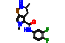 CC1Cc2c(cn(C)c2C(=O)Nc2ccc(F)c(F)c2)SN1